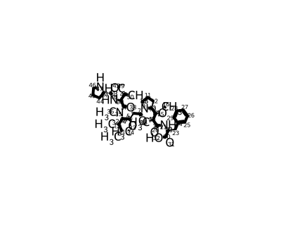 CC[C@H](C)[C@@H]([C@@H](CC(=O)N1CCC[C@H]1[C@H](OC)[C@@H](C)C(=O)N[C@@H](Cc1ccccc1)C(=O)O)OC)N(C)C(=O)[C@@H](NC(=O)[C@@H]1CCCN1)C(C)C